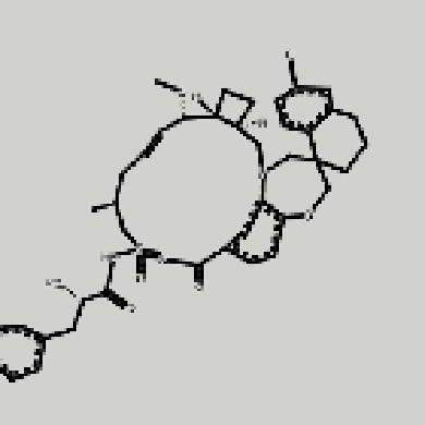 CO[C@H]1/C=C/C[C@H](C)CS(=O)(NC(=O)[C@@H](O)Cc2ccccc2)=NC(=O)c2ccc3c(c2)N(C[C@@H]2CC[C@H]21)C[C@@]1(CCCc2cc(Cl)ccc21)CO3